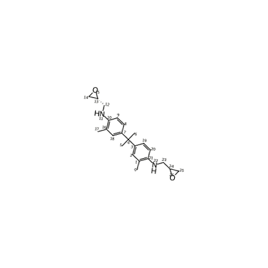 Cc1cc(C(C)(C)c2ccc(NC[C@@H]3CO3)c(C)c2)ccc1NCC1CO1